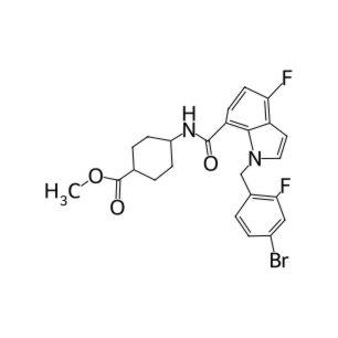 COC(=O)C1CCC(NC(=O)c2ccc(F)c3ccn(Cc4ccc(Br)cc4F)c23)CC1